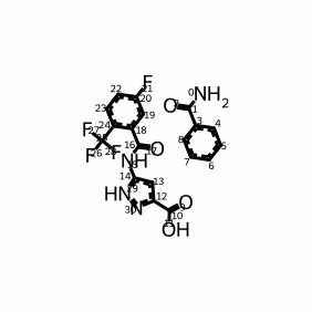 NC(=O)c1ccccc1.O=C(O)c1cc(NC(=O)c2cc(F)ccc2C(F)(F)F)[nH]n1